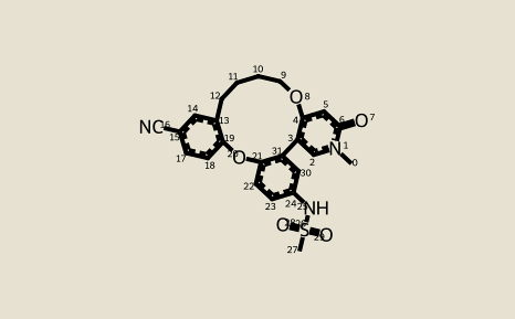 Cn1cc2c(cc1=O)OCCCCc1cc(C#N)ccc1Oc1ccc(NS(C)(=O)=O)cc1-2